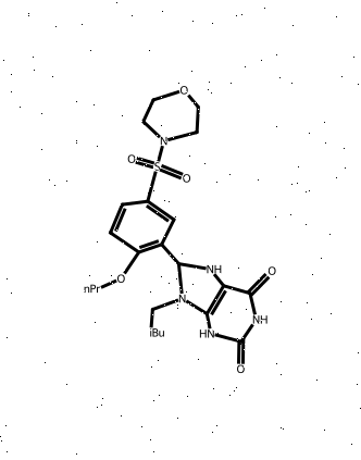 CCCOc1ccc(S(=O)(=O)N2CCOCC2)cc1C1Nc2c([nH]c(=O)[nH]c2=O)N1CC(C)CC